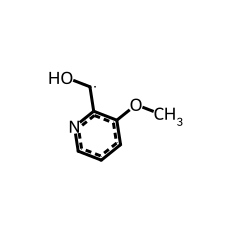 COc1cccnc1[CH]O